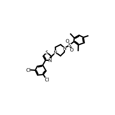 Cc1cc(C)c(S(=O)(=O)N2CCN(c3nc(-c4cc(Cl)cc(Cl)c4)cs3)CC2)c(C)c1